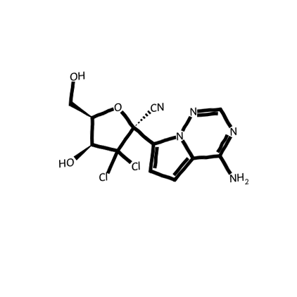 N#C[C@@]1(c2ccc3c(N)ncnn23)O[C@H](CO)[C@H](O)C1(Cl)Cl